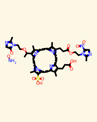 CC1=C(CCC(=O)O)c2cc3[nH]c(cc4nc(cc5[nH]c(cc1n2)c(S(=O)(=O)O)c5C)C(C(C)OCCn1c(OON)cnc1C)=C4C)c(C)c3CCC(=O)OCCn1c([N+](=O)[O-])cnc1C